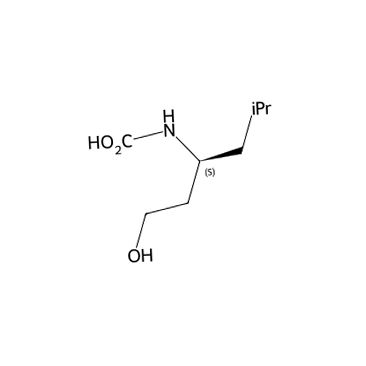 CC(C)C[C@@H](CCO)NC(=O)O